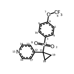 O=S(=O)(c1ccc(OC(F)(F)F)cc1)C1(c2ccncc2)CC1